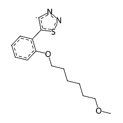 COCCCCCCOc1ccccc1-c1[c]nns1